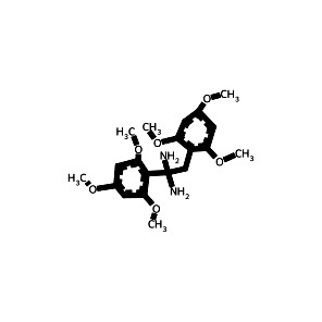 COc1cc(OC)c(CC(N)(N)c2c(OC)cc(OC)cc2OC)c(OC)c1